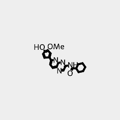 COc1cc(-c2ccc3ncc(NC(=O)C4CCCCC4)nc3n2)ccc1O